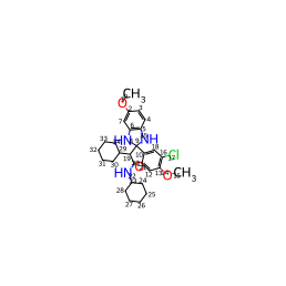 COc1ccc2c(c1)NC(c1ccc(OC)c(Cl)c1)(C(C(=O)NC1CCCCC1)C1CCCCC1)N2